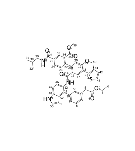 CCOC(=O)Cc1cccc(-c2c(NC(=O)c3cc4c(cc3-c3ccc(C(=O)NCC(C)C)cc3C(=O)OC)OCc3ccsc3-4)ccc3[nH]ccc23)c1